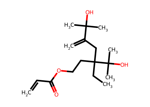 C=CC(=O)OCCC(CC)(CC(=C)C(C)(C)O)C(C)(C)O